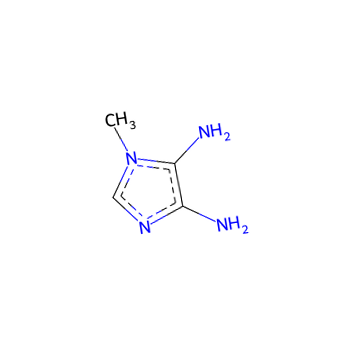 Cn1cnc(N)c1N